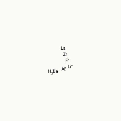 [Al].[BaH2].[F-].[La].[Li+].[Zr]